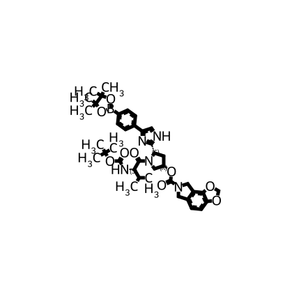 CC(C)[C@H](NC(=O)OC(C)(C)C)C(=O)N1C[C@H](OC(=O)N2Cc3ccc4c(c3C2)OCO4)C[C@H]1c1nc(-c2ccc(B3OC(C)(C)C(C)(C)O3)cc2)c[nH]1